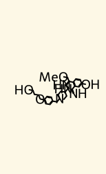 COCC(=N)c1ccc(O)cc1C(=N)NC1CCN(Cc2ccc(OCCCO)cc2)CC1